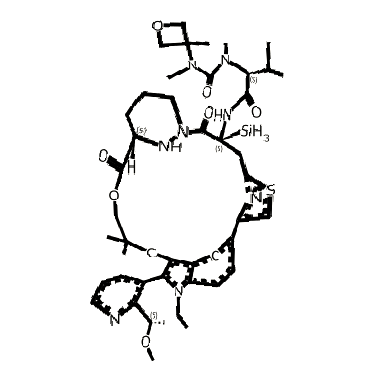 CCn1c(-c2cccnc2[C@H](C)OC)c2c3cc(ccc31)-c1csc(n1)C[C@@]([SiH3])(NC(=O)[C@H](C(C)C)N(C)C(=O)N(C)C1(C)COC1)C(=O)N1CCC[C@H](N1)C(=O)OCC(C)(C)C2